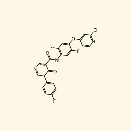 O=C(Nc1cc(F)c(Oc2ccnc(Cl)c2)cc1F)C1=CN=CC(c2ccc(F)cc2)C1=O